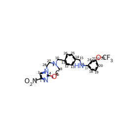 O=[N+]([O-])c1cn2c(n1)OCCN(Cc1ccc(CNc3cccc(OC(F)(F)F)c3)cc1)CC2